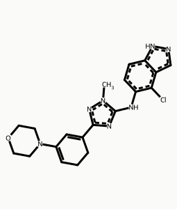 Cn1nc(C2=CC(N3CCOCC3)=CCC2)nc1Nc1ccc2[nH]ncc2c1Cl